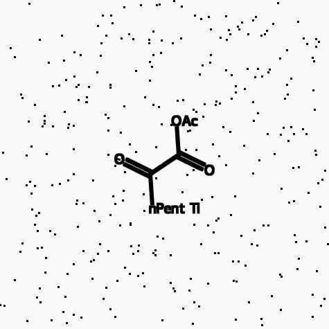 CCCCCC(=O)C(=O)OC(C)=O.[Ti]